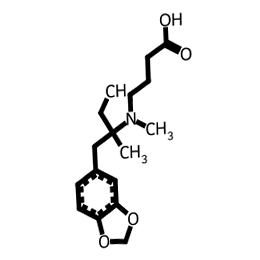 CCC(C)(Cc1ccc2c(c1)OCO2)N(C)CCCC(=O)O